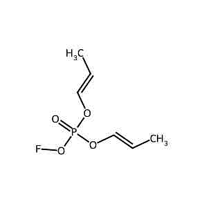 CC=COP(=O)(OF)OC=CC